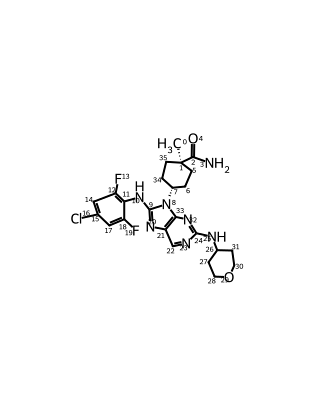 C[C@]1(C(N)=O)CC[C@H](n2c(Nc3c(F)cc(Cl)cc3F)nc3cnc(NC4CCOCC4)nc32)CC1